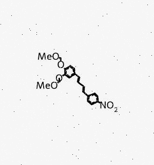 COCOc1ccc(C=CC=Cc2ccc([N+](=O)[O-])cc2)cc1OCOC